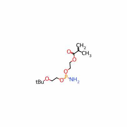 C=C(C)C(=O)OCCOP(N)OCCOC(C)(C)C